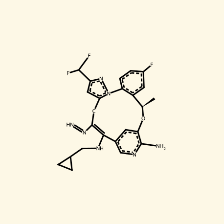 C[C@H]1Oc2cc(cnc2N)/C(NCC2CC2)=C(/N=N)Cc2cc(C(F)F)nn2-c2ccc(F)cc21